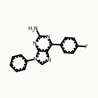 Nc1nc(-c2ccc(F)cc2)c2ncn(-c3ccccc3)c2n1